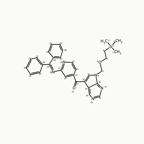 C[Si](C)(C)CCOCn1cc(C(=O)c2ccnc(N=C(c3ccccc3)c3ccccc3)c2)c2cncnc21